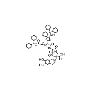 O=C(CON=C(C(=O)NC1C(=O)N2CC(CN3CCc4cc(O)c(O)cc4C3)(C(=O)O)C[S+]([O-])[C@H]12)c1csc(NC(c2ccccc2)(c2ccccc2)c2ccccc2)n1)OC(c1ccccc1)c1ccccc1